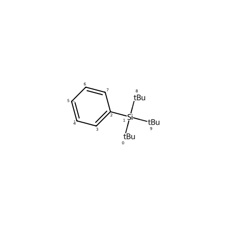 CC(C)(C)[Si](c1c[c][c]cc1)(C(C)(C)C)C(C)(C)C